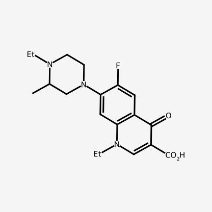 CCN1CCN(c2cc3c(cc2F)c(=O)c(C(=O)O)cn3CC)CC1C